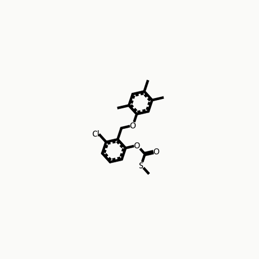 CSC(=O)Oc1cccc(Cl)c1COc1cc(C)c(C)cc1C